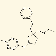 CCOC[C@]1(CCc2ccccc2)CCN(Cc2ccc(C)nc2)C1